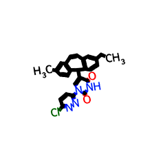 CCc1ccc2c(c1)C=Cc1cc(C)ccc1C2c1cn(-c2ccc(Cl)nn2)c(=O)[nH]c1=O